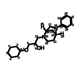 OC(COC1CCCCC1)CN1CC[C@@H]2C[C@H]1CN2c1ccccc1